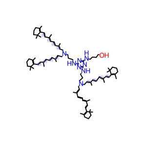 CC(C=CC1=C(C)CCCC1(C)C)=CC=CC(C)=CCN(C/C=C(C)/C=C/C=C(C)/C=C/C1=C(C)CCCC1(C)C)CCCNc1nc(NCCCCO)nc(NCCCN(C/C=C(C)/C=C/C=C(C)/C=C/C2=C(C)CCCC2(C)C)C/C=C(C)/C=C/C=C(C)/C=C/C2=C(C)CCCC2(C)C)n1